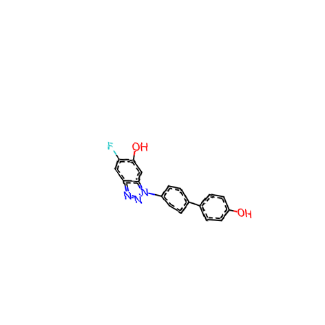 Oc1ccc(-c2ccc(-n3nnc4cc(F)c(O)cc43)cc2)cc1